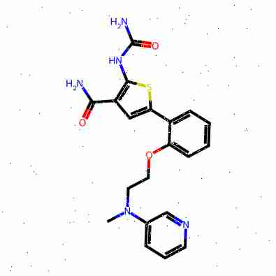 CN(CCOc1ccccc1-c1cc(C(N)=O)c(NC(N)=O)s1)c1cccnc1